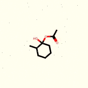 CC(=O)OC1(O)CCCCC1C